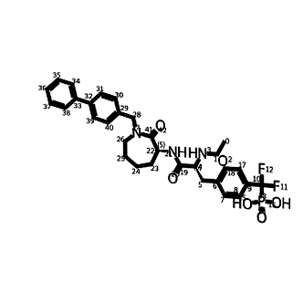 CC(=O)N[C@@H](Cc1ccc(C(F)(F)P(=O)(O)O)cc1)C(=O)N[C@H]1CCCCN(Cc2ccc(-c3ccccc3)cc2)C1=O